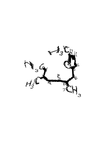 CCC(C)=CCC(C)Cc1ccc(C)o1